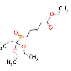 CCOC(=O)CC=CC[P](=O)C(CC)(OCC)OCC